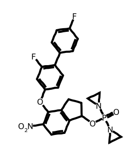 O=[N+]([O-])c1ccc2c(c1Oc1ccc(-c3ccc(F)cc3)c(F)c1)CCC2OP(=O)(N1CC1)N1CC1